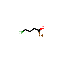 O=C(S)CCCCl